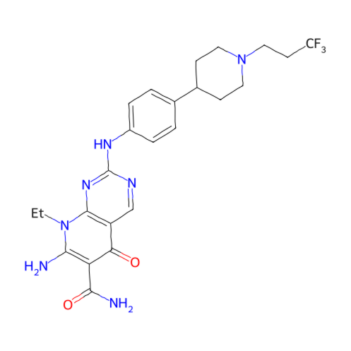 CCn1c(N)c(C(N)=O)c(=O)c2cnc(Nc3ccc(C4CCN(CCC(F)(F)F)CC4)cc3)nc21